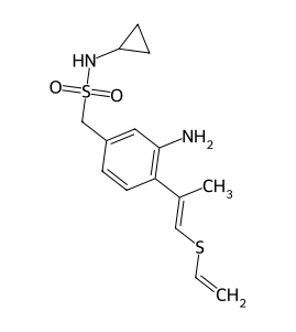 C=CS/C=C(\C)c1ccc(CS(=O)(=O)NC2CC2)cc1N